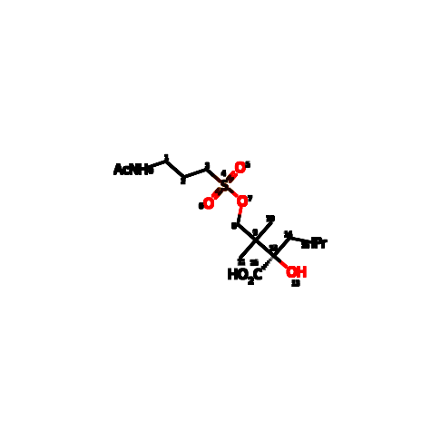 CC(=O)NCCCS(=O)(=O)OCC(C)(C)[C@](O)(CC(C)C)C(=O)O